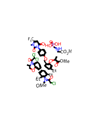 CC1COc2ccccc2N1C(=O)C(Cl)Cl.CCc1ccc(COc2ccc(-n3c(=O)cc(C(F)(F)F)n(C)c3=O)cc2)c(OC(C)C(=O)OC)c1.CCc1cccc(CC)c1N(COC)C(=O)CCl.O=C(O)CNCP(=O)(O)O